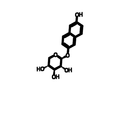 Oc1ccc2cc(O[C@@H]3OC[C@@H](O)[C@H](O)[C@H]3O)ccc2c1